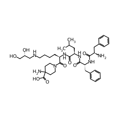 CC(C)C[C@@H](NC(=O)[C@@H](Cc1ccccc1)NC(=O)[C@H](N)Cc1ccccc1)C(=O)N[C@H](CCCCNC[C@@H](O)CO)C(=O)N1CCC(N)(C(=O)O)CC1